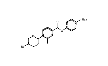 CCCCCCc1ccc(OC(=O)c2ccc(C3OCC(CC)CO3)c(F)c2)cc1